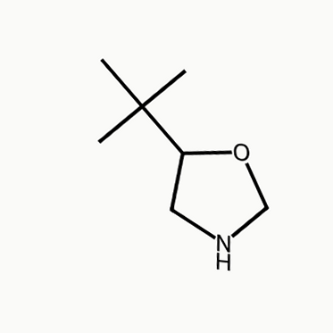 CC(C)(C)C1CNCO1